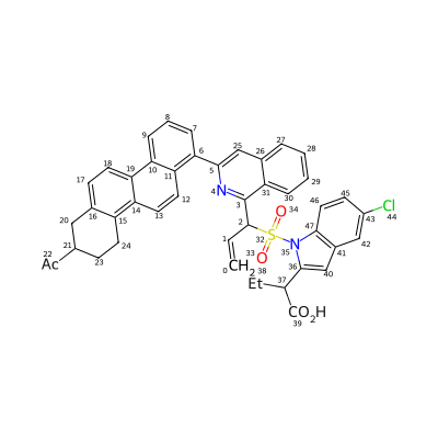 C=CC(c1nc(-c2cccc3c2ccc2c4c(ccc23)CC(C(C)=O)CC4)cc2ccccc12)S(=O)(=O)n1c(C(CC)C(=O)O)cc2cc(Cl)ccc21